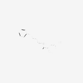 CCCCC[C@H](CN(O)C=O)C(=O)NNCCOc1ccccc1